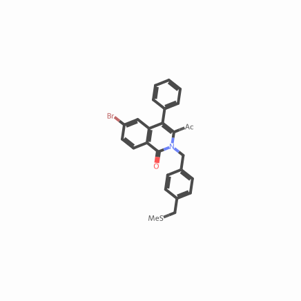 CSCc1ccc(Cn2c(C(C)=O)c(-c3ccccc3)c3cc(Br)ccc3c2=O)cc1